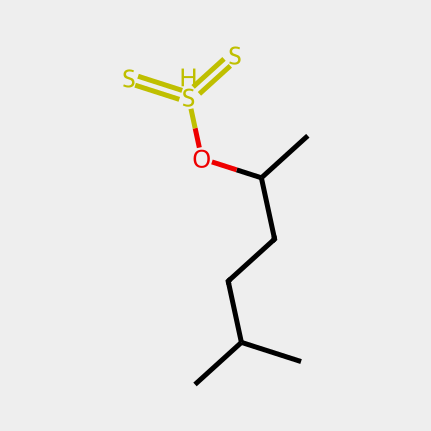 CC(C)CCC(C)O[SH](=S)=S